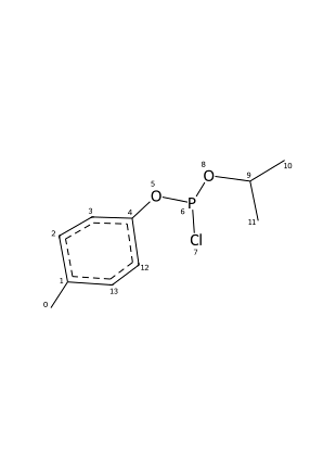 Cc1ccc(OP(Cl)OC(C)C)cc1